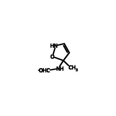 CC1(N[C]=O)C=CNO1